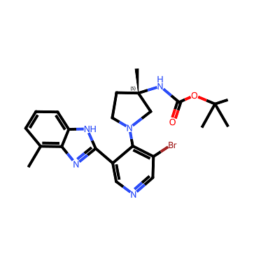 Cc1cccc2[nH]c(-c3cncc(Br)c3N3CC[C@](C)(NC(=O)OC(C)(C)C)C3)nc12